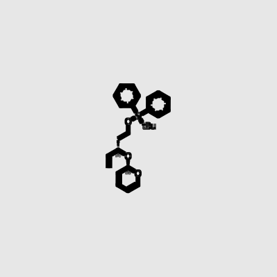 C=C[C@H](CCO[Si](c1ccccc1)(c1ccccc1)C(C)(C)C)O[C@@H]1C=CC=CO1